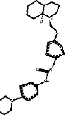 O=C(Nc1ccc(OC[C@@H]2CCCN3CCCC[C@H]23)cc1)Nc1ccc(N2CCCCC2)cc1